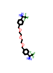 FC(F)(F)C1(c2ccc(COCCOCCOCc3ccc(C4(C(F)(F)F)N=N4)cc3)cc2)N=N1